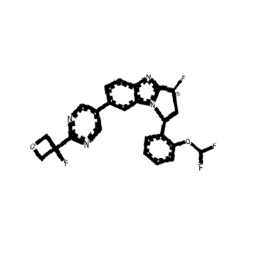 FC(F)Oc1ccccc1C1C[C@H](F)c2nc3ccc(-c4cnc(C5(F)COC5)nc4)cc3n21